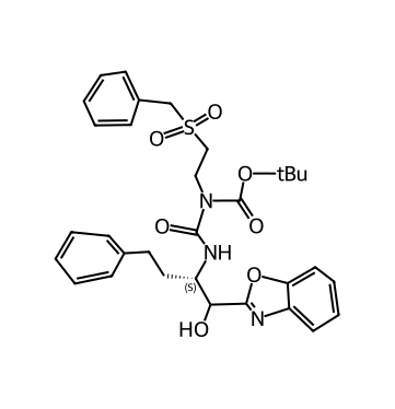 CC(C)(C)OC(=O)N(CCS(=O)(=O)Cc1ccccc1)C(=O)N[C@@H](CCc1ccccc1)C(O)c1nc2ccccc2o1